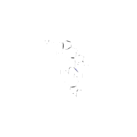 COc1ccc(CN2CC(=O)N(/C(C=N)=C/NCc3c(C)noc3C)C2=O)cc1O